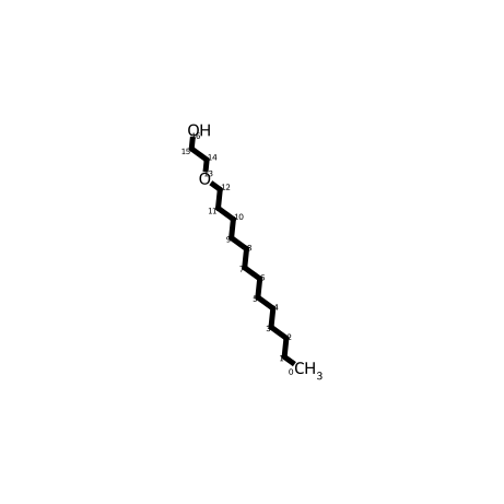 CCCCCCCCCCCCCOCCO